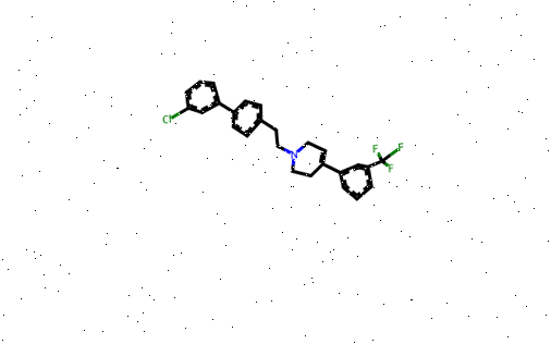 FC(F)(F)c1cccc(C2=CCN(CCc3ccc(-c4cccc(Cl)c4)cc3)CC2)c1